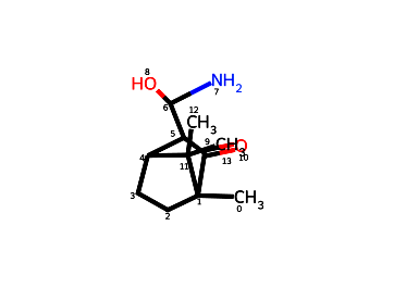 CC12CCC(C(C(N)O)C1=O)C2(C)C